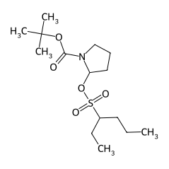 CCCC(CC)S(=O)(=O)OC1CCCN1C(=O)OC(C)(C)C